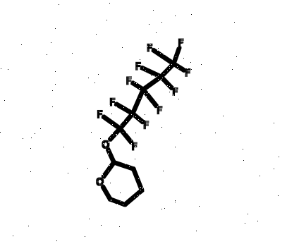 FC(F)(F)C(F)(F)C(F)(F)C(F)(F)C(F)(F)OC1CCCCO1